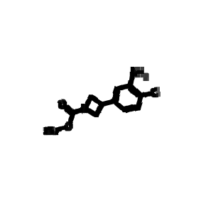 CC(C)(C)OC(=O)N1CC(c2ccc(Cl)c(N)c2)C1